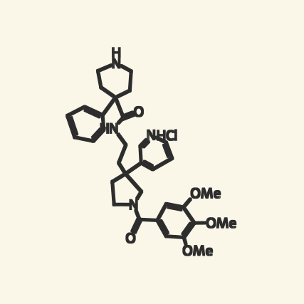 COc1cc(C(=O)N2CCC(CCNC(=O)C3(c4ccccc4)CCNCC3)(c3cccnc3)C2)cc(OC)c1OC.Cl